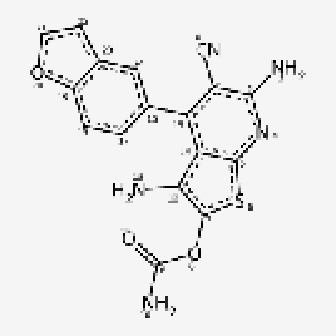 N#Cc1c(N)nc2sc(OC(N)=O)c(N)c2c1-c1ccc2occc2c1